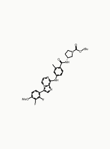 COc1ccc(-c2cnc3c(Nc4ccc(C(=O)N[C@@H]5CCN(C(=O)OC(C)(C)C)C5)c(C)c4)nccn23)c(F)c1F